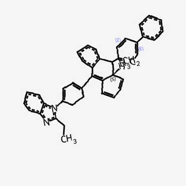 C=C(/C=C\C(=C/C)c1ccccc1)C1c2ccccc2C(C2=CC=C(n3c(CC)nc4ccccc43)CC2)=C2C=CC=C[C@H]21